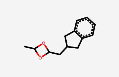 CC1OC(CC2Cc3ccccc3C2)O1